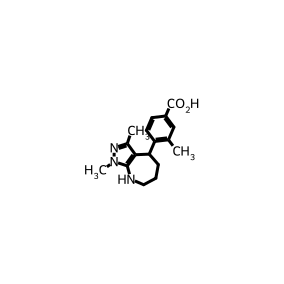 Cc1cc(C(=O)O)ccc1C1CCCNc2c1c(C)nn2C